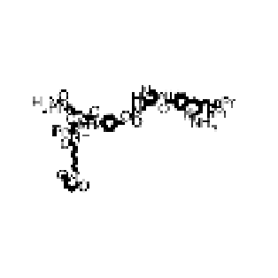 CCCN(CCC)CC1=Cc2ccc(C(=O)Nc3cncc(CNC(=O)OCc4ccc(NC(=O)[C@H](CCCNC(N)=O)NC(=O)[C@@H](NC(=O)CCCCCN5C(=O)C=CC5=O)C(C)C)cc4)c3)cc2N=C(N)C1